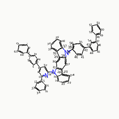 c1ccc(-c2ccc(-c3cc(-c4ccccc4)nc(-n4c5ccccc5c5cc6c(cc54)c4ccccc4n6-c4ccc(-c5cccc(-c6ccccc6)c5)cc4)c3)cc2)cc1